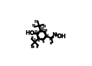 CC(=NO)c1cc(C(C)(C)C)c(O)c(C(C)(C)C)c1